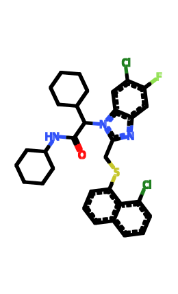 O=C(NC1CCCCC1)C(C1CCCCC1)n1c(CSc2cccc3cccc(Cl)c23)nc2cc(F)c(Cl)cc21